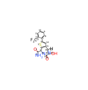 NC(=O)C1c2sc(-c3ccccc3C(F)(F)F)cc2[C@H]2CN1C(=O)N2O